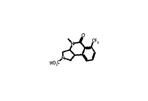 CN1C(=O)c2c(cccc2C(F)(F)F)C2CN(C(=O)O)CC21